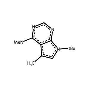 CNc1ncnc2c1c(C)cn2C(C)(C)C